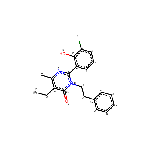 Cc1nc(-c2cccc(F)c2O)n(CCc2ccccc2)c(=O)c1CC(C)C